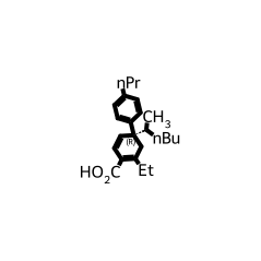 CCCCC(C)[C@@]1(c2ccc(CCC)cc2)C=CC(C(=O)O)=C(CC)C1